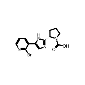 O=C(O)N1CCC[C@H]1c1ncc(-c2cccnc2Br)[nH]1